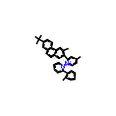 Cc1cc[n+](-[n+]2ccccc2-c2ccccc2C)c(-c2cc3ccc4cc(C(C)(C)C)ccc4c3cc2C)c1